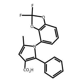 Cc1cc(C(=O)O)c(-c2ccccc2)n1-c1cccc2c1OC(F)(F)O2